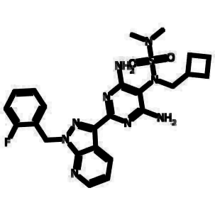 CN(C)S(=O)(=O)N(CC1CCC1)c1c(N)nc(-c2nn(Cc3ccccc3F)c3ncccc23)nc1N